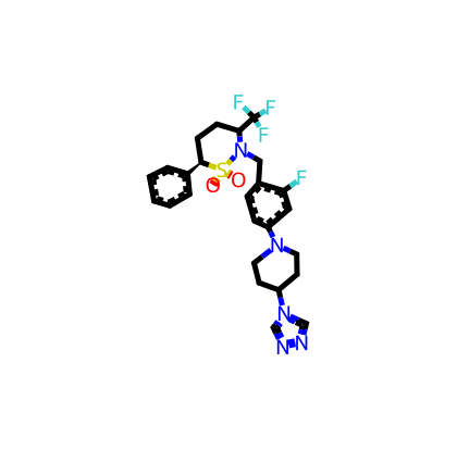 O=S1(=O)[C@@H](c2ccccc2)CCC(C(F)(F)F)N1Cc1ccc(N2CCC(n3cnnc3)CC2)cc1F